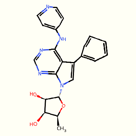 C[C@@H]1O[C@@H](n2cc(-c3ccccc3)c3c(Nc4ccncc4)ncnc32)[C@H](O)[C@@H]1O